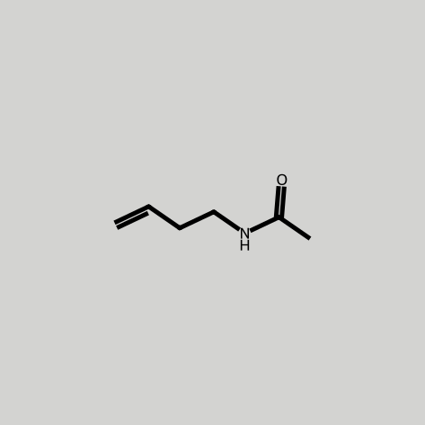 C=CCCNC(C)=O